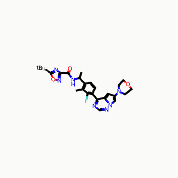 Cc1c(C(C)NC(=O)c2noc(C(C)(C)C)n2)ccc(-c2ncnn3cc(N4CCOCC4)cc23)c1F